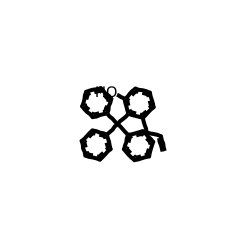 C=CCc1cccc(O)c1C(c1ccccc1)(c1ccccc1)c1ccccc1